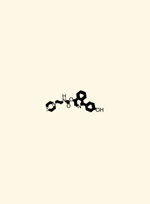 O=C(NCCN1CCSCC1)Oc1cnc(-c2ccc(O)cc2)c2ccccc12